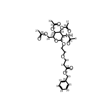 CC(=O)NC1C(OCCOCCC(=O)OCc2ccccc2)OC(COC(C)=O)C(OC(C)=O)C1OC(C)=O